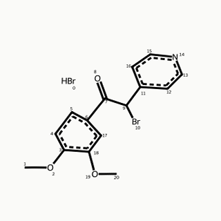 Br.COc1ccc(C(=O)C(Br)c2ccncc2)cc1OC